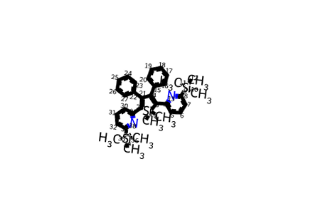 C[Si]1(C)C(c2cccc([Si](C)(C)C)n2)=C(c2ccccc2)C(c2ccccc2)=C1c1cccc([Si](C)(C)C)n1